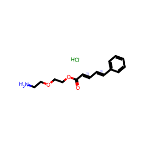 Cl.NCCOCCOC(=O)/C=C/C=C/c1ccccc1